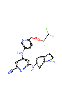 N#Cc1cc(Nc2ccc(OC(F)C(F)F)nc2)cc(Nc2ccc3cc[nH]c3c2)n1